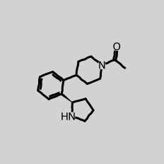 CC(=O)N1CCC(c2ccccc2[C@H]2CCCN2)CC1